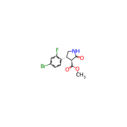 COC(=O)[C@@H]1C(=O)NC[C@H]1c1ccc(Br)cc1F